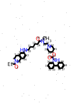 CCC(=O)N1CCc2cc(NCCCCCC(=O)N(C)CCN3CCC(OC(=O)Nc4ccccc4-c4ccccc4)CC3)ccc2C1